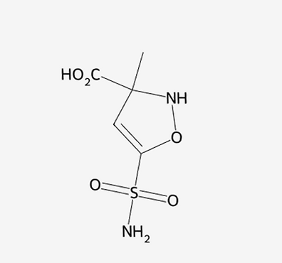 CC1(C(=O)O)C=C(S(N)(=O)=O)ON1